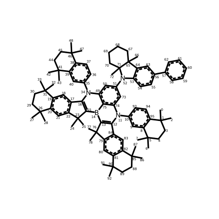 CC1(C)CCC(C)(C)c2cc(N3C4=C(B5C6=C(c7cc8c(cc7C6(C)C)C(C)(C)CCC8(C)C)N(c6ccc7c(c6)C(C)(C)CCC7(C)C)c6cc(N7c8ccc(-c9ccccc9)cc8C8(C)CCCCC78C)cc3c65)C(C)(C)c3cc5c(cc34)C(C)(C)CCC5(C)C)ccc21